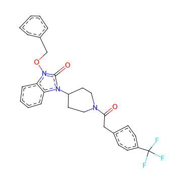 O=C(Cc1ccc(C(F)(F)F)cc1)N1CCC(n2c(=O)n(OCc3ccccc3)c3ccccc32)CC1